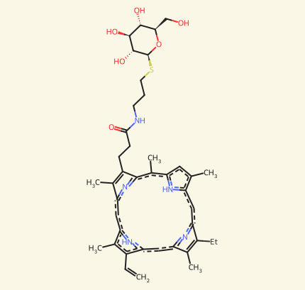 C=Cc1c(C)c2cc3nc(c(C)c4cc(C)c(cc5nc(cc1[nH]2)C(C)=C5CC)[nH]4)C(CCC(=O)NCCCS[C@@H]1O[C@H](CO)[C@@H](O)[C@H](O)[C@H]1O)=C3C